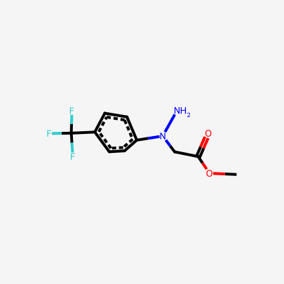 COC(=O)CN(N)c1ccc(C(F)(F)F)cc1